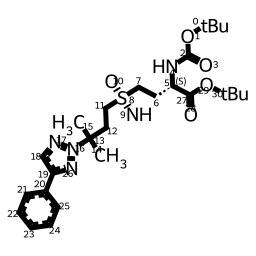 CC(C)(C)OC(=O)N[C@@H](CCS(=N)(=O)CCC(C)(C)n1ncc(-c2ccccc2)n1)C(=O)OC(C)(C)C